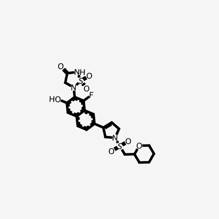 O=C1CN(c2c(O)cc3ccc(C4=CCN(S(=O)(=O)CC5CCCCO5)C4)cc3c2F)S(=O)(=O)N1